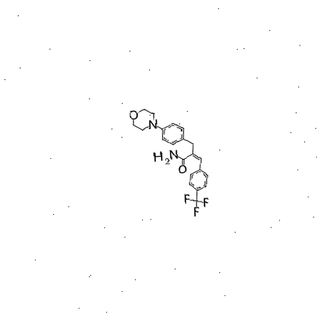 NC(=O)/C(=C\c1ccc(C(F)(F)F)cc1)Cc1ccc(N2CCOCC2)cc1